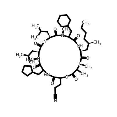 CCCC[C@@H](C)C[C@@H]1NC(=O)C(CC2CCCCC2)N(C)C(=O)[C@H](CC(C)C)NC(=O)[C@H](CC(C)C)N(C)C(=O)C(CC2CCCC2)NC(=O)C(CCC#N)OC(=O)C(C)N(C)C1=O